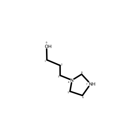 OCCCN1CCNC1